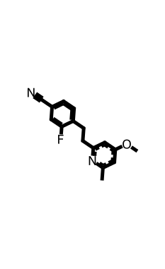 COc1cc(C)nc(CCC2=C=C=C(C#N)C=C2F)c1